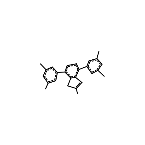 CC1=Cc2c(-c3cc(C)cc(C)c3)ccc(-c3cc(C)cc(C)c3)c2C1